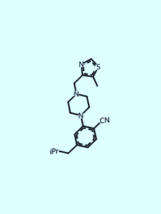 Cc1scnc1CN1CCN(c2cc(CC(C)C)ccc2C#N)CC1